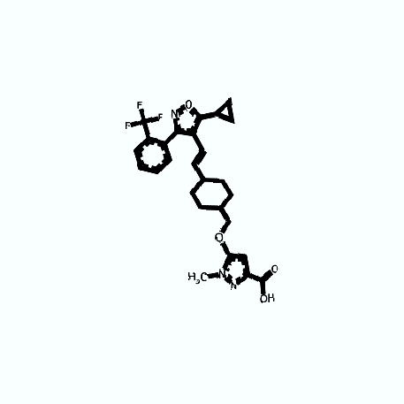 Cn1nc(C(=O)O)cc1OCC1CCC(/C=C/c2c(-c3ccccc3C(F)(F)F)noc2C2CC2)CC1